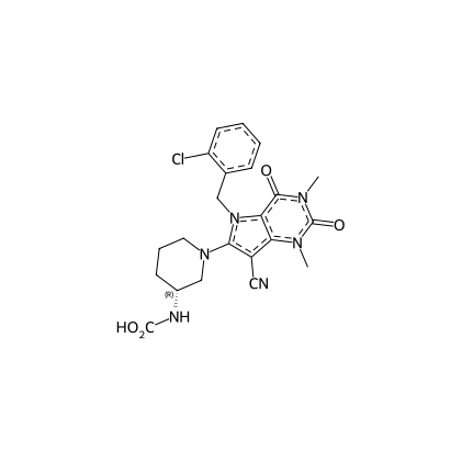 Cn1c(=O)c2c(c(C#N)c(N3CCC[C@@H](NC(=O)O)C3)n2Cc2ccccc2Cl)n(C)c1=O